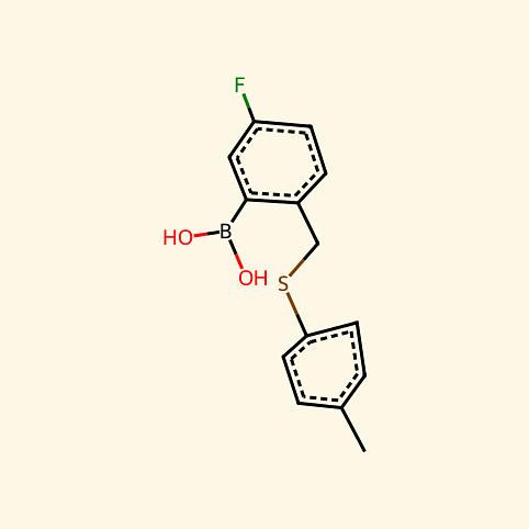 Cc1ccc(SCc2ccc(F)cc2B(O)O)cc1